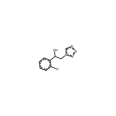 OC(Cn1cnnn1)c1ccccc1Cl